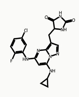 O=C1NC(=O)C(Cc2cnn3c(NC4CC4)cc(Nc4cc(Cl)ccc4F)nc23)N1